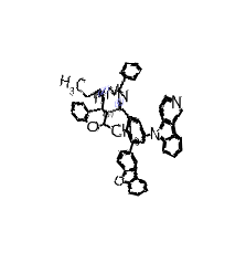 CC/C=C\C1c2ccccc2OC(C)[C@@H]1/C(=N\C(=N)c1ccccc1)c1cc(-c2ccc3oc4ccccc4c3c2)cc(-n2c3ccccc3c3cnccc32)c1